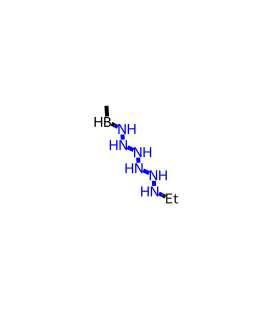 CBNNNNNNCC